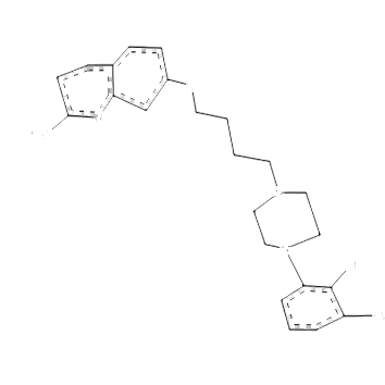 CC(=O)Oc1ccc2ccc(OCCCCN3CCN(c4cccc(Cl)c4Cl)CC3)cc2n1